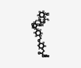 COC(=O)Cc1ccc(OCc2ccc(-c3noc(C)c3NC(=O)O[C@H](C)c3ccccc3Cl)cc2)cc1